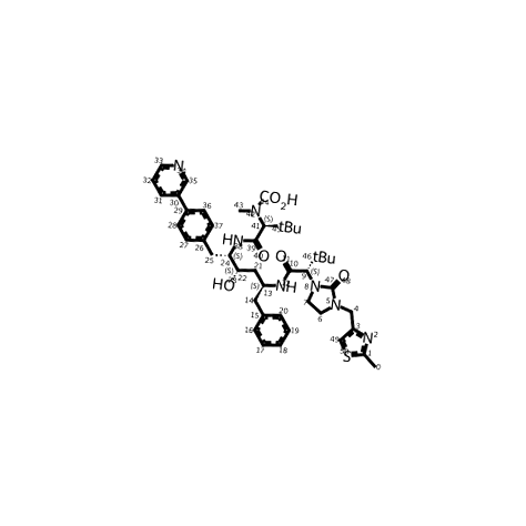 Cc1nc(CN2CCN([C@H](C(=O)N[C@@H](Cc3ccccc3)C[C@H](O)[C@H](Cc3ccc(-c4cccnc4)cc3)NC(=O)[C@@H](N(C)C(=O)O)C(C)(C)C)C(C)(C)C)C2=O)cs1